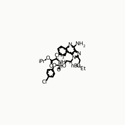 CCCC[C@H](CO[P@](=O)(N[C@@H](C)C(=O)OC(C)C)Oc1ccc(Cl)cc1)n1c(COCC)nc2c(N)nc3ccccc3c21